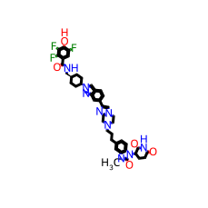 Cn1c(=O)n(C2CCC(=O)NC2=O)c2ccc(CCCN3CCn4cc(-c5ccc6cn([C@H]7CC[C@H](CNC(=O)c8cc(F)c(O)c(F)c8F)CC7)nc6c5)nc4C3)cc21